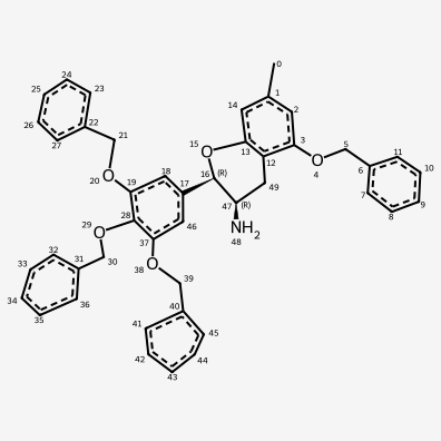 Cc1cc(OCc2ccccc2)c2c(c1)O[C@H](c1cc(OCc3ccccc3)c(OCc3ccccc3)c(OCc3ccccc3)c1)[C@H](N)C2